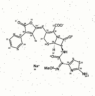 CO/N=C(\C(=O)N[C@@H]1C(=O)N2C(C(=O)[O-])=C(/C=C3/OC(=O)C(c4ccccc4)=C3C)CS[C@H]12)c1csc(N)n1.[Na+]